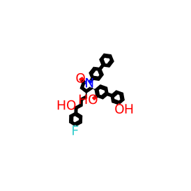 O=C1C[C@H](CCC[C@@H](O)c2ccc(F)cc2)[C@@H](c2ccc(-c3cccc(O)c3)cc2O)N1c1ccc(-c2ccccc2)cc1